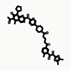 CC(=O)c1c(C)c2cnc(Nc3ccc(N4CCN(C(=O)CCCNc5ccc(C)c(C(=O)Nc6nc(C)c(C)s6)c5)CC4)cn3)nc2n(C2CCCC2)c1=O